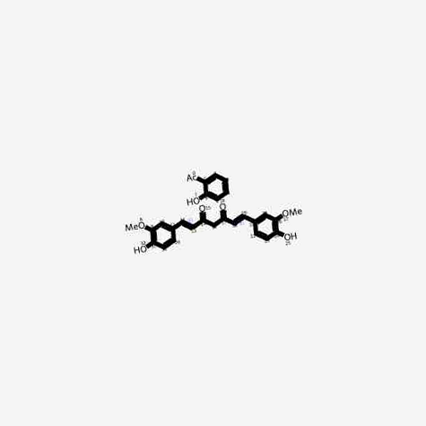 CC(=O)c1ccccc1O.COc1cc(/C=C/C(=O)CC(=O)/C=C/c2ccc(O)c(OC)c2)ccc1O